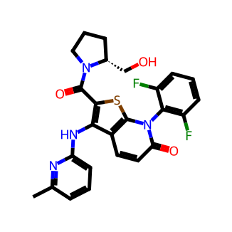 Cc1cccc(Nc2c(C(=O)N3CCC[C@@H]3CO)sc3c2ccc(=O)n3-c2c(F)cccc2F)n1